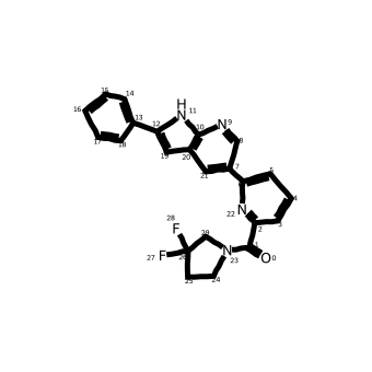 O=C(c1cccc(-c2cnc3[nH]c(-c4ccccc4)cc3c2)n1)N1CCC(F)(F)C1